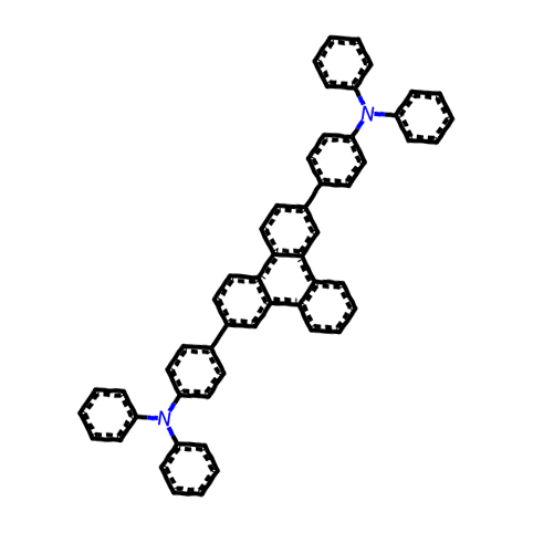 c1ccc(N(c2ccccc2)c2ccc(-c3ccc4c5ccc(-c6ccc(N(c7ccccc7)c7ccccc7)cc6)cc5c5ccccc5c4c3)cc2)cc1